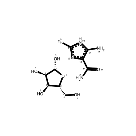 OC[C@H]1O[C@@H](O)[C@H](O)[C@@H]1O.[2H]c1nc(C(N)=O)c(N)[nH]1